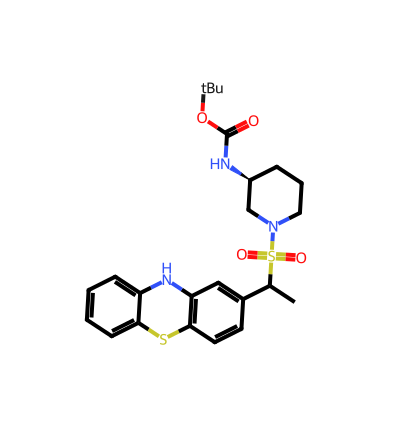 CC(c1ccc2c(c1)Nc1ccccc1S2)S(=O)(=O)N1CCC[C@H](NC(=O)OC(C)(C)C)C1